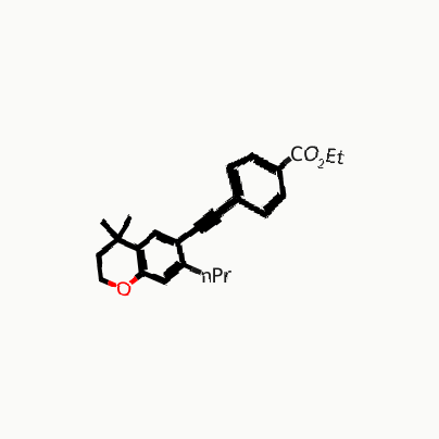 CCCc1cc2c(cc1C#Cc1ccc(C(=O)OCC)cc1)C(C)(C)CCO2